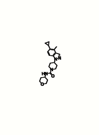 Cc1c(C2CC2)ccc2c1cnn2C1CCN(C(=O)NC2CCOCC2)CC1